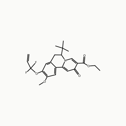 C=CC(F)(F)Oc1cc2c(cc1OC)-c1cc(=O)c(C(=O)OCC)cn1C(C(C)(C)C)C2